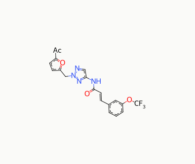 CC(=O)c1ccc(Cn2ncc(NC(=O)C=Cc3cccc(OC(F)(F)F)c3)n2)o1